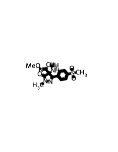 CON=C(C)C1(NO)C(=O)N(C)N=C1c1ccc(S(C)(=O)=O)cc1